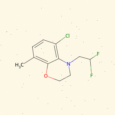 Cc1ccc(Cl)c2c1OCCN2CC(F)F